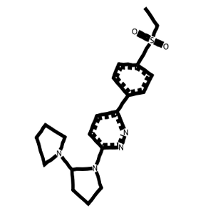 CCS(=O)(=O)c1ccc(-c2ccc(N3CCCC3N3CCCC3)nn2)cc1